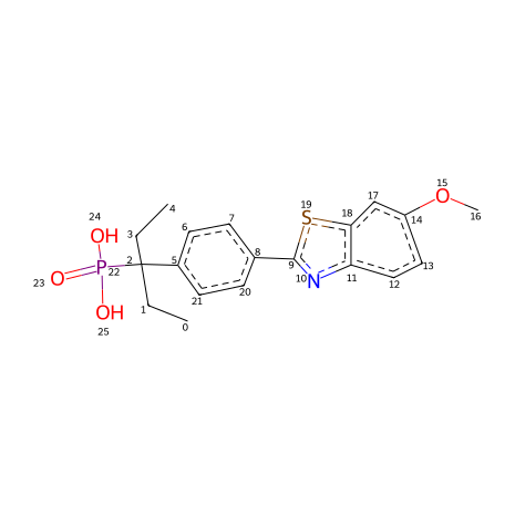 CCC(CC)(c1ccc(-c2nc3ccc(OC)cc3s2)cc1)P(=O)(O)O